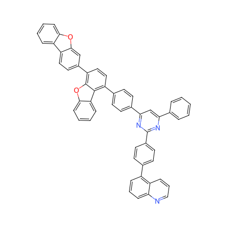 c1ccc(-c2cc(-c3ccc(-c4ccc(-c5ccc6c(c5)oc5ccccc56)c5oc6ccccc6c45)cc3)nc(-c3ccc(-c4cccc5ncccc45)cc3)n2)cc1